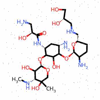 CN[C@@H]1C(O)[C@@H](OC2C(O)C(O[C@H]3O[C@H](CNC[C@H](O)CO)CCC3N)[C@@H](N)C[C@H]2NC(=O)[C@@H](O)CN)OCC1(C)O